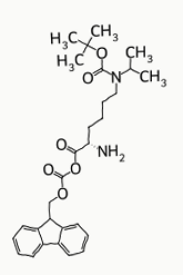 CC(C)N(CCCC[C@H](N)C(=O)OC(=O)OCC1c2ccccc2-c2ccccc21)C(=O)OC(C)(C)C